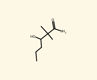 CCCC(O)C(C)(C)C(N)=O